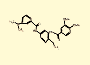 COc1ccc(C(=O)Nc2cc(NC(=O)c3cccc(N(C)C)c3)ccc2CN)cc1OC